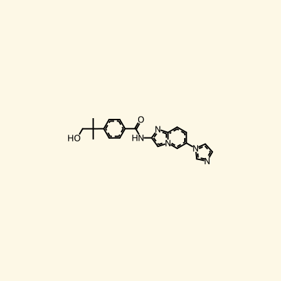 CC(C)(CO)c1ccc(C(=O)Nc2cn3cc(-n4ccnc4)ccc3n2)cc1